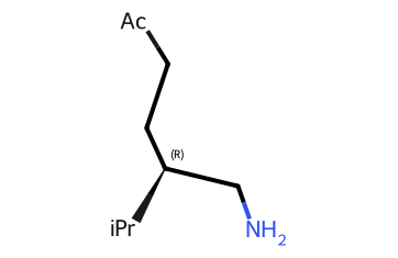 CC(=O)CC[C@@H](CN)C(C)C